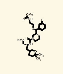 CNC[C@H](CC1CCC(C)(C)OC1)NC(=O)N1CCC[C@@H]([C@@H](OCCNC(=O)OC)c2cccc(F)c2)C1